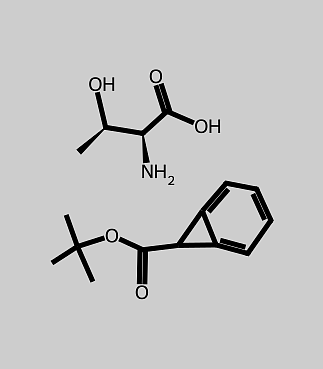 CC(C)(C)OC(=O)C1c2ccccc21.C[C@@H](O)[C@H](N)C(=O)O